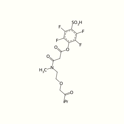 CC(C)C(=O)COCCN(C)C(=O)CC(=O)Oc1c(F)c(F)c(S(=O)(=O)O)c(F)c1F